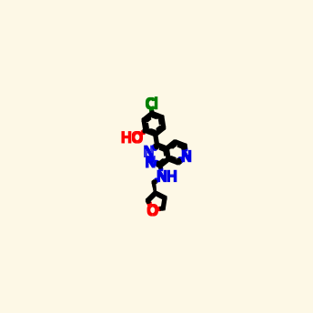 Oc1cc(Cl)ccc1-c1nnc(NC[C@H]2CCOC2)c2cnccc12